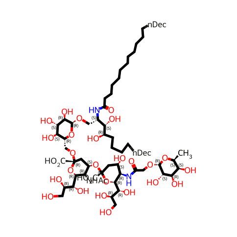 CCCCCCCCCCCCCCCCCCCCCC(=O)N[C@@H](CO[C@@H]1O[C@H](CO[C@]2(C(=O)O)C[C@H](O[C@]3(C(=O)O)C[C@H](O)[C@@H](NC(=O)CO[C@@H]4O[C@@H](C)[C@@H](O)[C@@H](O)[C@@H]4O)[C@H]([C@H](O)[C@H](O)CO)O3)[C@@H](NC(C)=O)[C@H]([C@H](O)[C@H](O)CO)O2)[C@@H](O)[C@H](O)[C@H]1O)[C@H](O)[C@H](O)CCCCCCCCCCCCCC